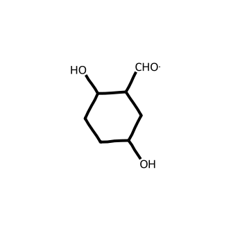 O=[C]C1CC(O)CCC1O